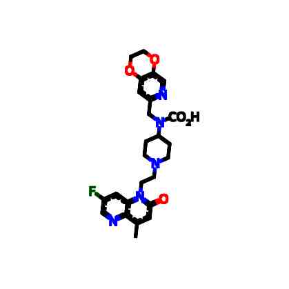 Cc1cc(=O)n(CCN2CCC(N(Cc3cc4c(cn3)OCCO4)C(=O)O)CC2)c2cc(F)cnc12